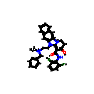 CN(CCN1C2=C(C(=O)Nc3c(F)cccc3F)C(=O)CCN2c2cc3ccccc3cc21)Cc1ccccc1